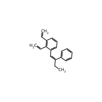 C=Cc1cccc(C=C(CC)c2ccccc2)c1C=C